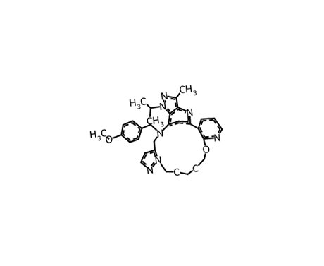 COc1ccc(CN2Cc3ccnn3CCCCCOc3ncccc3-c3cc2c2c(n3)c(C)nn2C(C)C)cc1